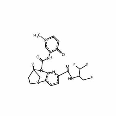 Cn1ccc(=O)c(NC(=O)N2c3nc(C(=O)NC(CF)C(F)F)ccc3N3CC[C@H]2C3)c1